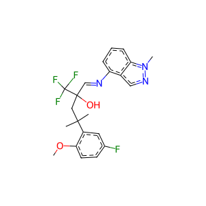 COc1ccc(F)cc1C(C)(C)CC(O)(C=Nc1cccc2c1cnn2C)C(F)(F)F